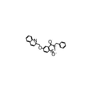 O=C1c2cc(OCc3ccc4ccccc4n3)ccc2[S@@+]([O-])C[C@@H]1Cc1ccccc1